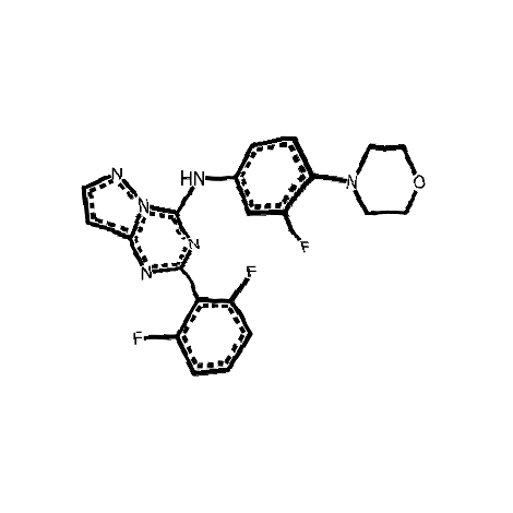 Fc1cc(Nc2nc(-c3c(F)cccc3F)nc3ccnn23)ccc1N1CCOCC1